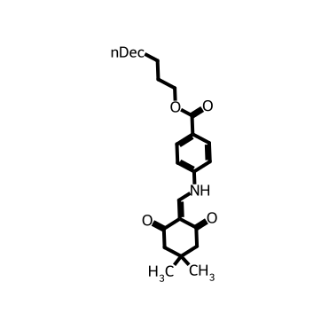 CCCCCCCCCCCCCOC(=O)c1ccc(NC=C2C(=O)CC(C)(C)CC2=O)cc1